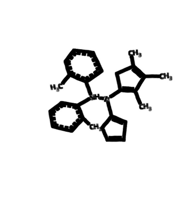 CC1=C(C)C(C)=[C]([Zr]([C]2=CC=CC2)[SiH](c2ccccc2C)c2ccccc2C)C1